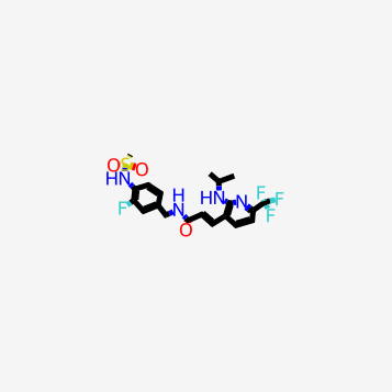 CC(C)Nc1nc(C(F)(F)F)ccc1/C=C/C(=O)NCc1ccc(NS(C)(=O)=O)c(F)c1